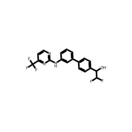 OC(c1ccc(-c2cccc(Nc3nccc(C(F)(F)F)n3)c2)cc1)C(F)F